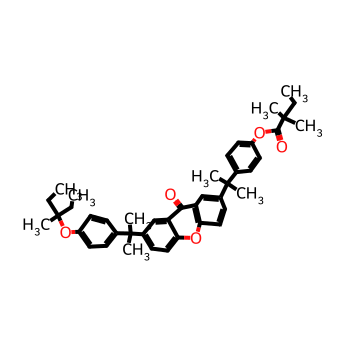 CCC(C)(CC)Oc1ccc(C(C)(C)c2ccc3oc4ccc(C(C)(C)c5ccc(OC(=O)C(C)(C)CC)cc5)cc4c(=O)c3c2)cc1